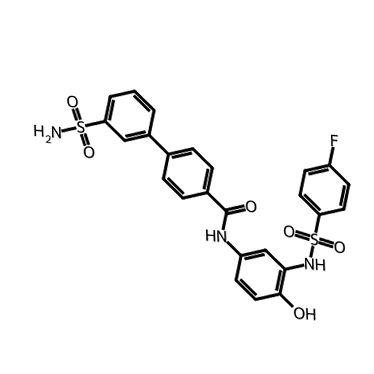 NS(=O)(=O)c1cccc(-c2ccc(C(=O)Nc3ccc(O)c(NS(=O)(=O)c4ccc(F)cc4)c3)cc2)c1